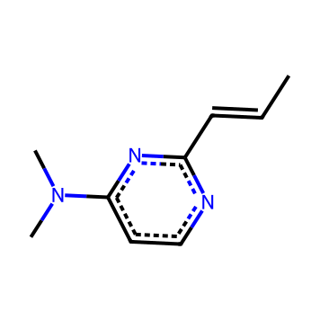 C/C=C/c1nccc(N(C)C)n1